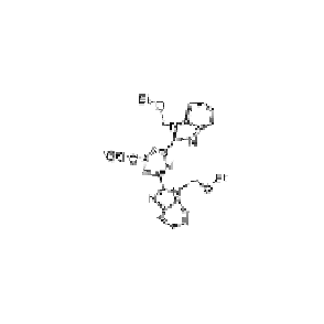 CCOCn1c(-c2cccc(-c3nc4ccccc4n3COCC)n2)nc2ccccc21.[Cl-].[Cl-].[Cl-].[V+3]